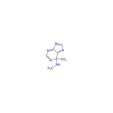 CNC1(C)N=CN=C2[N+]=CN=C21